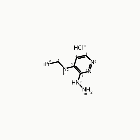 CC(C)CNc1ccnnc1NN.Cl